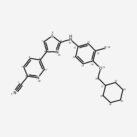 N#Cc1ccc(-c2csc(Nc3ccc(OCC4CCCCC4)c(F)c3)n2)cn1